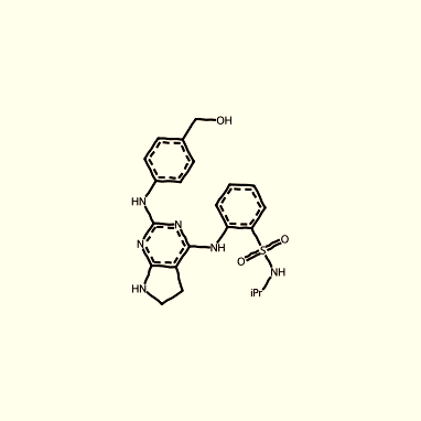 CC(C)NS(=O)(=O)c1ccccc1Nc1nc(Nc2ccc(CO)cc2)nc2c1CCN2